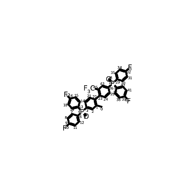 Cc1cc(P(=O)(c2ccc(F)cc2)c2ccc(F)cc2)ccc1-c1ccc(P(=O)(c2ccc(F)cc2)c2ccc(F)cc2)cc1C(F)(F)F